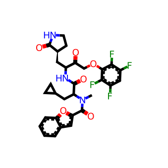 CN(C(=O)c1cc2ccccc2o1)C(CC1CC1)C(=O)NC(C[C@@H]1CCNC1=O)C(=O)COc1c(F)c(F)cc(F)c1F